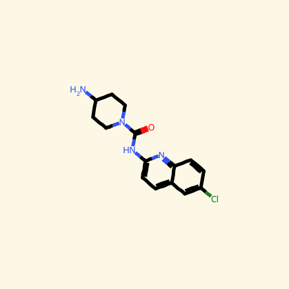 NC1CCN(C(=O)Nc2ccc3cc(Cl)ccc3n2)CC1